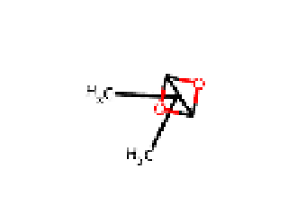 CC1=C(C)C2OC1O2